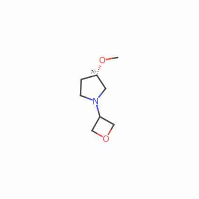 CO[C@H]1CCN(C2COC2)C1